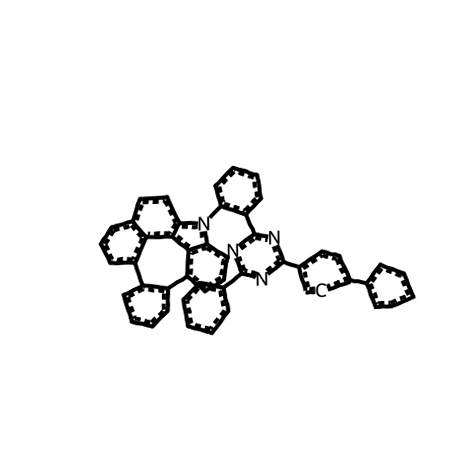 c1ccc(-c2ccc(-c3nc(-c4ccccc4)nc(-c4ccccc4-n4c5cccc6c5c5c7c(cccc7ccc54)-c4ccccc4-6)n3)cc2)cc1